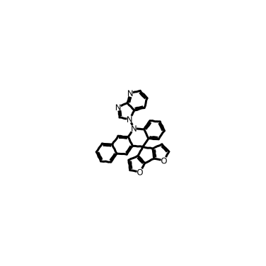 c1ccc2c(c1)N(n1cnc3ncccc31)c1cc3ccccc3cc1C21c2ccoc2-c2occc21